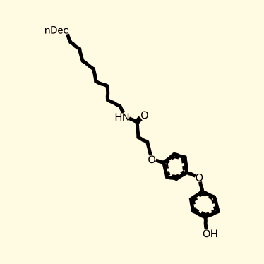 CCCCCCCCCCCCCCCCCCNC(=O)CCOc1ccc(Oc2ccc(O)cc2)cc1